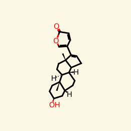 C[C@]12CC[C@H](O)C[C@H]1CC[C@H]1C3CC=C(c4ccc(=O)oc4)[C@@]3(C)CC[C@@H]12